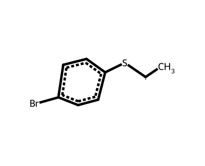 C[CH]Sc1ccc(Br)cc1